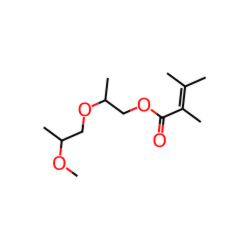 COC(C)COC(C)COC(=O)C(C)=C(C)C